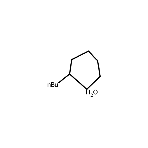 CCCCC1CCCCC1.O